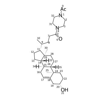 CC(=O)N1CCN(C(=O)CCC(C)[C@H]2CC[C@H]3[C@@H]4CC=C5C[C@@H](O)CC[C@]5(C)[C@H]4CC[C@]23C)CC1